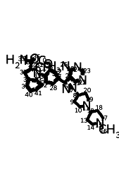 COc1cc(-c2nn(C3CCN(C4CCN(C)CC4)CC3)c3ncnc(N)c23)ccc1[N+]1(C)C(C(N)=O)=Cc2ccccc21